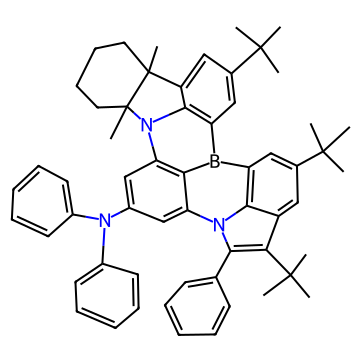 CC(C)(C)c1cc2c3c(c1)C1(C)CCCCC1(C)N3c1cc(N(c3ccccc3)c3ccccc3)cc3c1B2c1cc(C(C)(C)C)cc2c(C(C)(C)C)c(-c4ccccc4)n-3c12